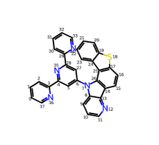 c1ccc(-c2cc(-n3c4cccnc4c4ccc5sc6ccccc6c5c43)cc(-c3ccccn3)n2)nc1